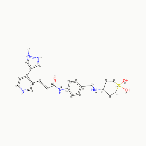 Cn1cc(-c2ccncc2C=CC(=O)Nc2ccc(CNC3CCS(O)(O)CC3)cc2)cn1